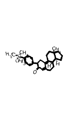 C[C@@]12CCC[C@H]1[C@@H]1CCC3=CC(=O)C(c4ccc([Si](C)(C)C)cc4)CC3=C1CC2